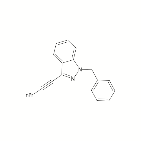 CCCC#Cc1nn(Cc2ccccc2)c2ccccc12